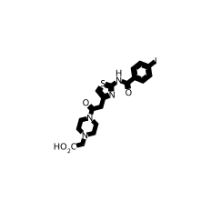 O=C(O)CN1CCN(C(=O)Cc2csc(NC(=O)c3ccc(I)cc3)n2)CC1